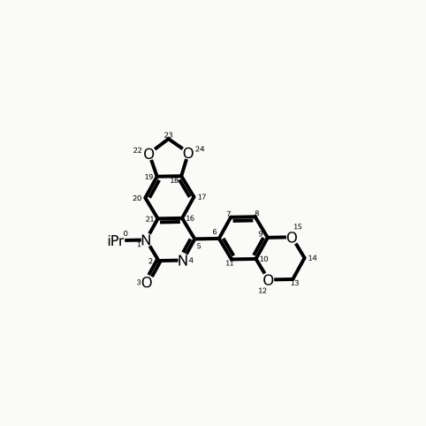 CC(C)n1c(=O)nc(-c2ccc3c(c2)OCCO3)c2cc3c(cc21)OCO3